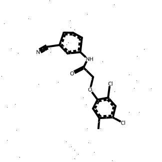 Cc1cc(OCC(=O)Nc2cccc(C#N)c2)c(Cl)cc1Cl